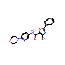 Cc1nc(-c2ccccc2)oc1C(=O)Nc1ccc(N2CCOCC2)nc1